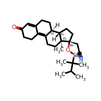 CC(C)C(C)(C)[SiH2]O[C@@]1(CC#N)CC[C@H]2[C@@H]3CCC4=CC(=O)CCC4=C3CC[C@@]21C